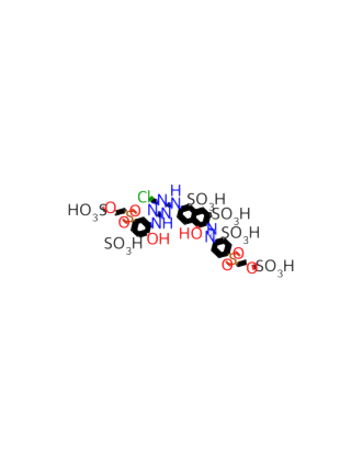 O=S(=O)(O)OCCS(=O)(=O)c1ccc(/N=N/c2c(S(=O)(=O)O)cc3c(S(=O)(=O)O)c(Nc4nc(Cl)nc(Nc5cc(S(=O)(=O)CCOS(=O)(=O)O)cc(S(=O)(=O)O)c5O)n4)ccc3c2O)c(S(=O)(=O)O)c1